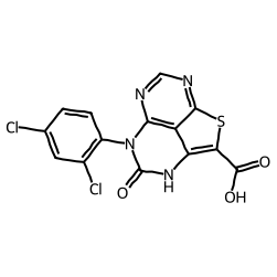 O=C(O)c1sc2ncnc3c2c1NC(=O)N3c1ccc(Cl)cc1Cl